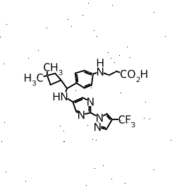 CC1(C)CC(C(Nc2cnc(-n3cc(C(F)(F)F)cn3)nc2)c2ccc(NCCC(=O)O)cc2)C1